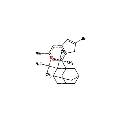 CCC1=Cc2cc(C(C)(C)C)cc(C34CC5C[C](CC(C5)C3)C43[Si](C)(C)O[Si]3(C)C)c2C1